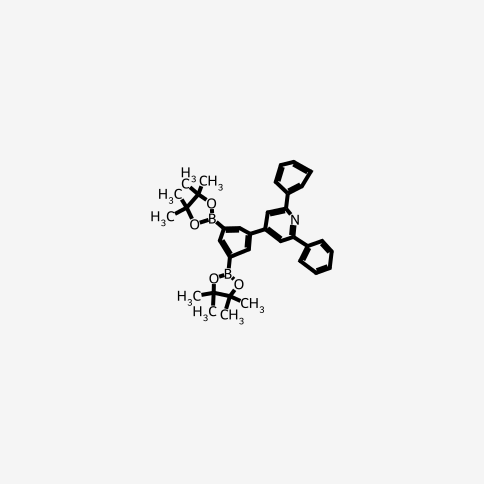 CC1(C)OB(c2cc(B3OC(C)(C)C(C)(C)O3)cc(-c3cc(-c4ccccc4)nc(-c4ccccc4)c3)c2)OC1(C)C